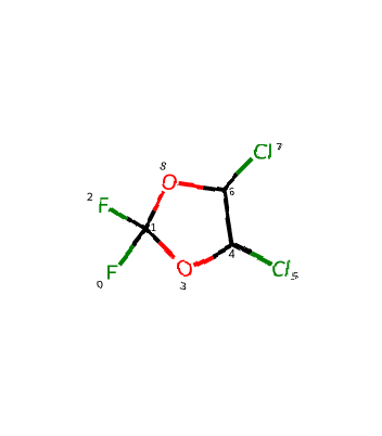 FC1(F)OC(Cl)C(Cl)O1